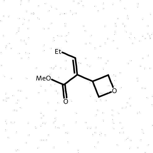 CCC=C(C(=O)OC)C1COC1